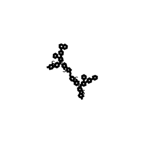 Cc1ccc2c(c1)sc1cc(N(c3ccc(-c4ccc(-c5ccccc5)cc4)c(-c4ccccc4)c3)c3ccc4c(c3)sc3cc(CCc5ccc6c(c5)sc5cc(N(c7ccc(-c8ccc(-c9cccc%10ccccc9%10)cc8)c(-c8ccccc8)c7)c7ccc8c(c7)sc7cc(C)ccc78)ccc56)ccc34)ccc12